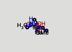 CCC(C)CN(C(=O)NN(Cc1ccc(-c2ccccn2)cc1)CC(O)C(Cc1ccccc1)NC(=O)C(C(C)CC)C1CNC(=O)N1Cc1cccc(C)n1)C(=O)OC